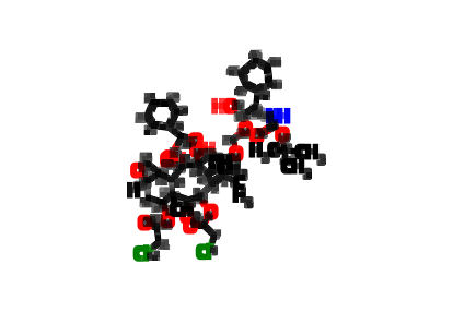 CC1=C2[C@@H](OC(=O)CCl)C(=O)[C@@]3(C)C([C@H](OC(=O)c4ccccc4)[C@](O)(C[C@@H]1OCO[C@H](O)[C@@H](NC(=O)OC(C)(C)C)c1ccccc1)C2(C)C)[C@]1(O)CO[C@@H]1C[C@@H]3OC(=O)CCl